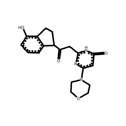 O=C(Cc1nc(N2CCOCC2)cc(=O)[nH]1)C1CCc2c(O)cccc21